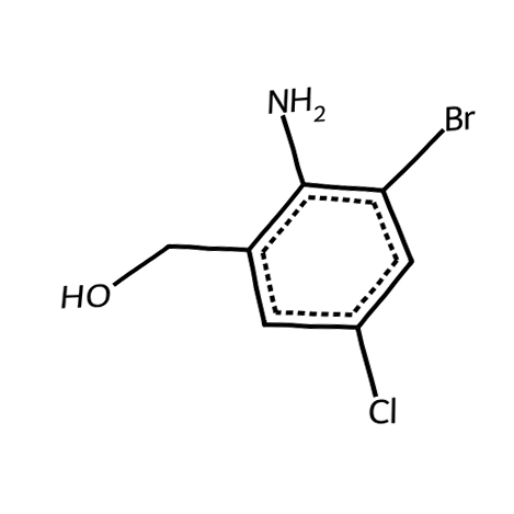 Nc1c(Br)cc(Cl)cc1CO